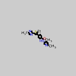 CCc1sc(-c2cnc(C)cn2)cc1-c1ccc(C(=O)Nc2cnc(C)cc2C)cc1